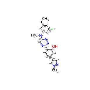 CC[C@H]1C[C@@H](F)C[C@H](N(C)c2cnc(-c3ccc(-c4cnn(C)c4)cc3O)nn2)C1